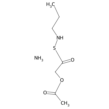 CCCNSC(=O)COC(C)=O.N